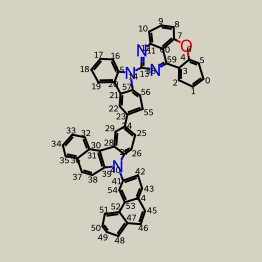 c1ccc2c(c1)Oc1cccc3nc(-n4c5ccccc5c5cc(-c6ccc7c(c6)c6c8ccccc8ccc6n7-c6ccc7ccc8ccccc8c7c6)ccc54)nc-2c13